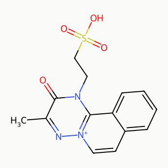 Cc1n[n+]2ccc3ccccc3c2n(CCS(=O)(=O)O)c1=O